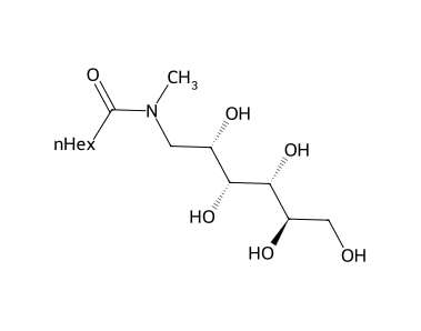 CCCCCCC(=O)N(C)C[C@H](O)[C@@H](O)[C@H](O)[C@H](O)CO